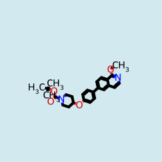 COc1nccc2cc(-c3ccc(OC4CCN(C(=O)OC(C)(C)C)CC4)cc3)ccc12